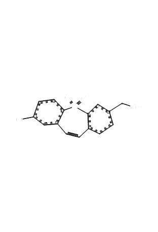 O=S1(=O)c2ccc(Cl)cc2C=Cc2ccc(CO)cc21